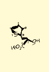 O=C(O)C(O)C1CC=CS1